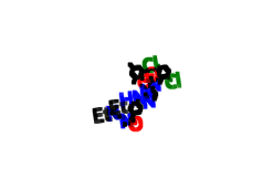 CCN(CC)CCN(C)C(=O)c1ccc(Nc2nccc(N(Cc3cc(Cl)ccc3Cl)C(=O)Oc3c(C)cc(C)cc3C)n2)cc1